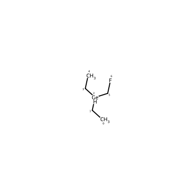 C[CH2][GeH]([CH2]C)[CH2]F